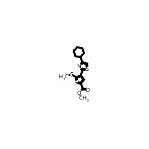 COC(=O)c1cc(-c2nc(C3CCCCC3)cs2)c(SC)s1